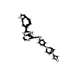 c1cn2nc(-c3ccc4cc[nH]c4c3)nc2c(Nc2ccc(N3CC4CC3CN4C3COC3)cc2)n1